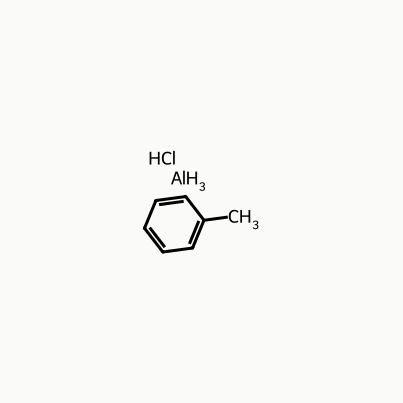 Cc1ccccc1.Cl.[AlH3]